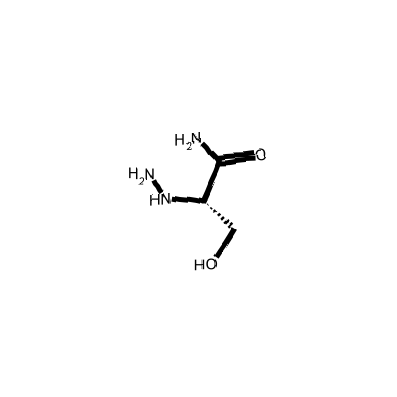 NN[C@@H](CO)C(N)=O